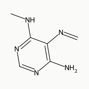 C=Nc1c(N)ncnc1NC